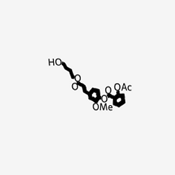 COc1cc(/C=C/C(=O)OCCCCO)ccc1OC(=O)c1ccccc1OC(C)=O